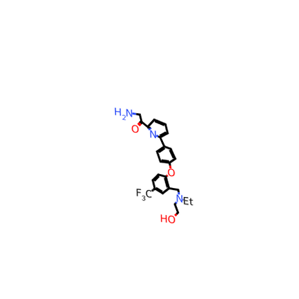 CCN(CCO)Cc1cc(C(F)(F)F)ccc1Oc1ccc(-c2cccc(C(=O)CN)n2)cc1